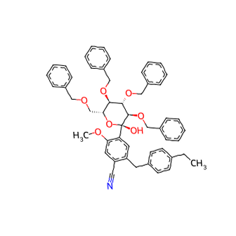 CCc1ccc(Cc2cc([C@]3(O)O[C@H](COCc4ccccc4)[C@@H](OCc4ccccc4)[C@H](OCc4ccccc4)[C@H]3OCc3ccccc3)c(OC)cc2C#N)cc1